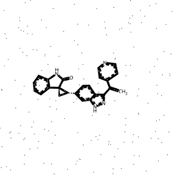 C=C(c1ccncc1)c1n[nH]c2cc([C@@H]3C[C@@]34C(=O)Nc3ccccc34)ccc12